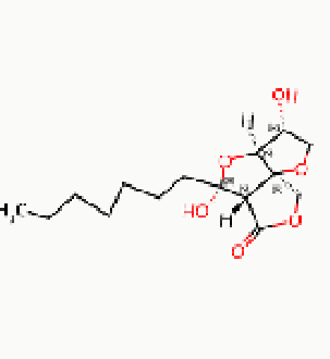 CCCCCCC[C@@]1(O)O[C@H]2[C@H](O)CO[C@]23COC(=O)[C@@H]31